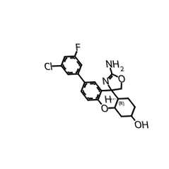 NC1=NC2(CO1)c1cc(-c3cc(F)cc(Cl)c3)ccc1OC1CC(O)CC[C@@H]12